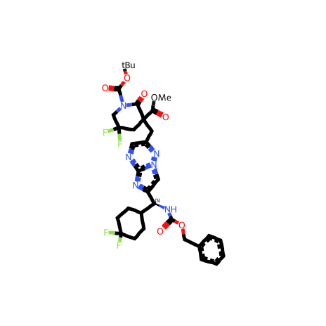 COC(=O)C1(Cc2cnc3nc([C@@H](NC(=O)OCc4ccccc4)C4CCC(F)(F)CC4)cn3n2)CC(F)(F)CN(C(=O)OC(C)(C)C)C1=O